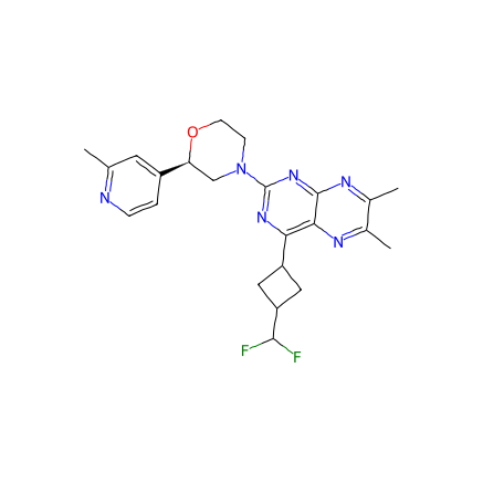 Cc1cc([C@@H]2CN(c3nc(C4CC(C(F)F)C4)c4nc(C)c(C)nc4n3)CCO2)ccn1